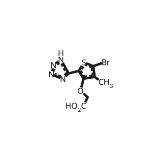 Cc1c(Br)sc(-c2nnn[nH]2)c1OCC(=O)O